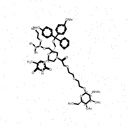 COc1ccc(C(OC[C@]2(COP(OCCC#N)N(C(C)C)C(C)C)CN(C(=O)COCCOCCO[C@@H]3O[C@H](COC(C)=O)[C@H](OC(C)=O)[C@H](OC(C)=O)[C@H]3NC(C)=O)C[C@H](n3cc(C)c(=O)[nH]c3=O)O2)(c2ccccc2)c2ccc(OC)cc2)cc1